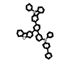 c1ccc(-c2ccc(N(c3ccccc3)c3cccc(-c4ccc(-c5ccc6c(c5)c5ccccc5n6-c5ccccc5)cc4-c4ccc5oc6ccccc6c5c4)c3)cc2)cc1